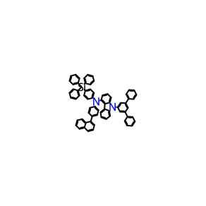 c1ccc(-c2cc(-c3ccccc3)cc(-n3c4ccccc4c4c(N(c5ccc(-c6cccc7ccccc67)cc5)c5ccc([Si](c6ccccc6)(c6ccccc6)c6ccccc6)cc5)cccc43)c2)cc1